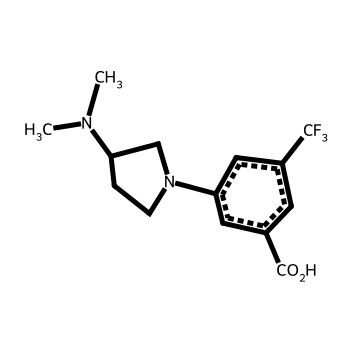 CN(C)C1CCN(c2cc(C(=O)O)cc(C(F)(F)F)c2)C1